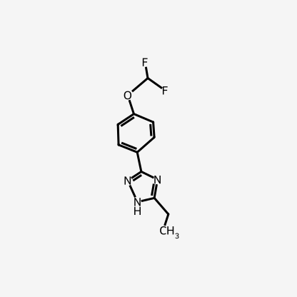 CCc1nc(-c2ccc(OC(F)F)cc2)n[nH]1